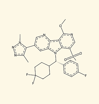 COc1ncc(S(C)(=O)=O)c2c1c1ncc(-c3c(C)nnn3C)cc1n2[C@H](c1ccc(F)cc1)C1CCC(F)(F)CC1